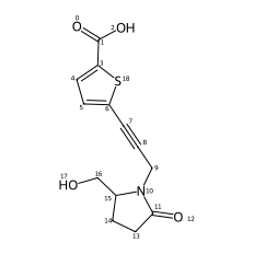 O=C(O)c1ccc(C#CCN2C(=O)CCC2CO)s1